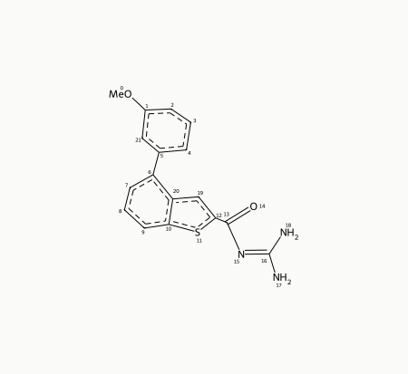 COc1cccc(-c2cccc3sc(C(=O)N=C(N)N)cc23)c1